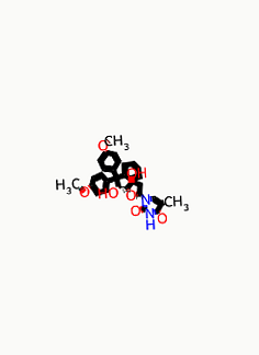 COc1ccc(C(c2ccccc2)(c2ccc(OC)cc2)C(O)[C@H]2O[C@@H](n3cc(C)c(=O)[nH]c3=O)C[C@@H]2O)cc1